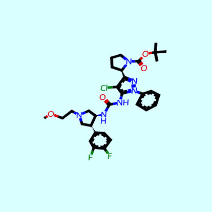 COCCN1C[C@@H](NC(=O)Nc2c(Cl)c([C@H]3CCCN3C(=O)OC(C)(C)C)nn2-c2ccccc2)[C@H](c2ccc(F)c(F)c2)C1